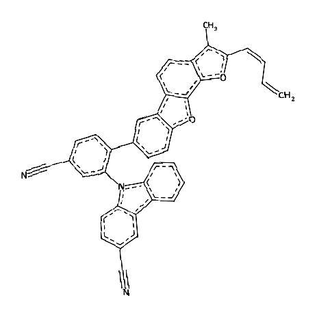 C=C/C=C\c1oc2c(ccc3c4cc(-c5ccc(C#N)cc5-n5c6ccccc6c6cc(C#N)ccc65)ccc4oc32)c1C